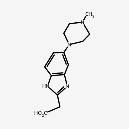 CN1CCN(c2ccc3[nH]c(CC(=O)O)nc3c2)CC1